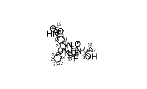 CC(O)(CNC(=O)c1nc(-c2ccc(NS(C)(=O)=O)cc2)c(Oc2ccccc2)nc1C(F)(F)F)C1CC1